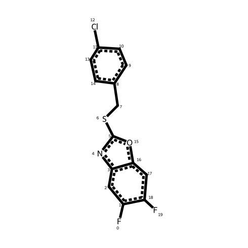 Fc1cc2nc(SCc3ccc(Cl)cc3)oc2cc1F